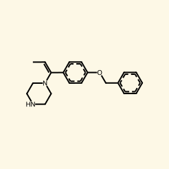 CC=C(c1ccc(OCc2ccccc2)cc1)N1CCNCC1